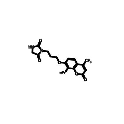 CCCc1c(OCCCN2C(=O)CNC2=O)ccc2c(C(F)(F)F)cc(=O)oc12